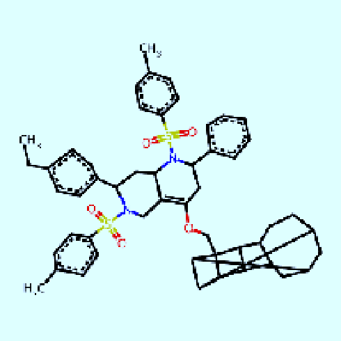 CCc1ccc(C2CC3C(=C(OCC45C6C7CC8CCC9C(C7)C(C94)C5C86)CC(c4ccccc4)N3S(=O)(=O)c3ccc(C)cc3)CN2S(=O)(=O)c2ccc(C)cc2)cc1